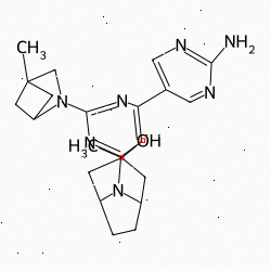 CC1(O)CC2CCC(C1)N2c1cc(-c2cnc(N)nc2)nc(N2CC3(C)CC2C3)n1